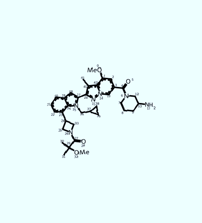 COc1cc(C(=O)N2CCCC(N)C2)cn2nc(-c3cc4cccc(C5CN(C(=O)C(C)(C)OC)C5)c4n3CC3CC3)c(C)c12